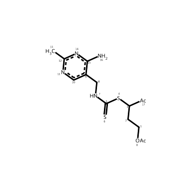 CC(=O)OCCC(SC(=S)NCc1cnc(C)nc1N)C(C)=O